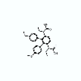 CCC(C(=O)O)c1ccc(C(CC)C(=O)O)c(-c2ccc(SC)cc2)c1-c1ccc(SC)cc1